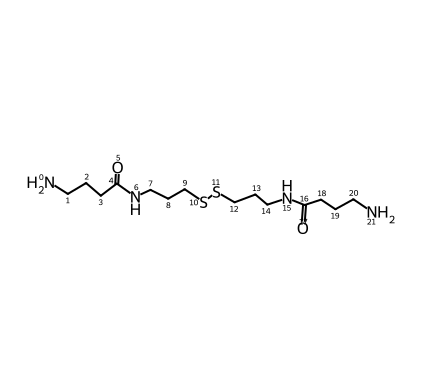 NCCCC(=O)NCCCSSCCCNC(=O)CCCN